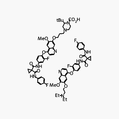 CCN(CC)CCOc1cc2c(Oc3ccc(NC(=O)C4(C(=O)Nc5ccc(F)cc5)CC4)cc3F)ccnc2cc1OC.COc1cc2c(Oc3ccc(NC(=O)C4(C(=O)Nc5ccc(F)cc5)CC4)cc3F)ccnc2cc1OCCCN1CCN(C(=O)O)C(C(C)(C)C)C1